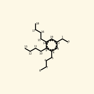 [CH2]Cc1cc(CCCC)c(CCCC)c(CCCC)c1